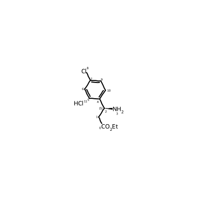 CCOC(=O)C[C@H](N)c1ccc(Cl)cc1.Cl